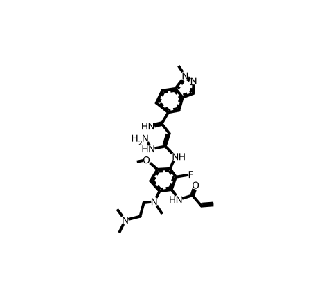 C=CC(=O)Nc1c(N(C)CCN(C)C)cc(OC)c(N/C(=C/C(=N)c2ccc3c(cnn3C)c2)NN)c1F